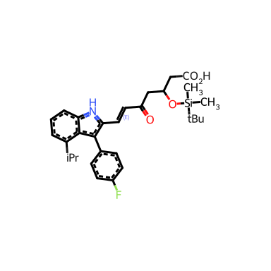 CC(C)c1cccc2[nH]c(/C=C/C(=O)CC(CC(=O)O)O[Si](C)(C)C(C)(C)C)c(-c3ccc(F)cc3)c12